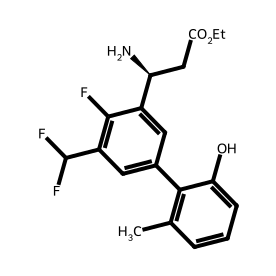 CCOC(=O)C[C@H](N)c1cc(-c2c(C)cccc2O)cc(C(F)F)c1F